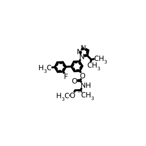 COC[C@@H](C)NC(=O)Oc1cc(-c2ccc(C)cc2F)cc(-n2nncc2C(C)C)c1